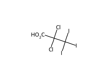 O=C(O)C(Cl)(Cl)C(I)(I)I